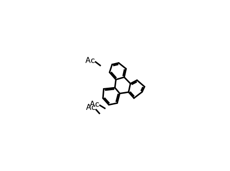 CC(C)=O.CC(C)=O.CC(C)=O.c1ccc2c(c1)c1ccccc1c1ccccc21